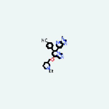 CCN1CCCC(COc2cc(-c3ccc(C#N)cc3)c(-c3cnc4c(c3)ncn4C)n3cncc23)C1